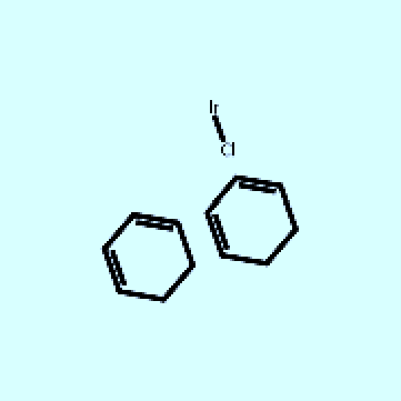 C1=CCCC=C1.C1=CCCC=C1.[Cl][Ir]